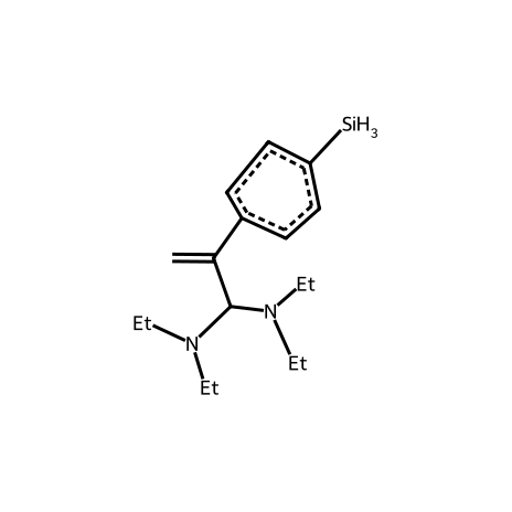 C=C(c1ccc([SiH3])cc1)C(N(CC)CC)N(CC)CC